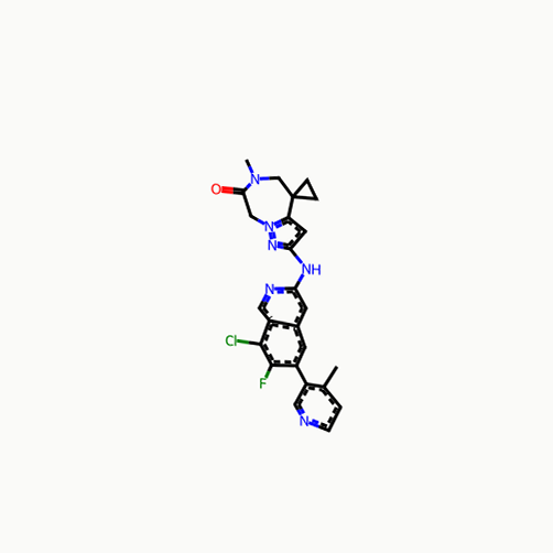 Cc1ccncc1-c1cc2cc(Nc3cc4n(n3)CC(=O)N(C)CC43CC3)ncc2c(Cl)c1F